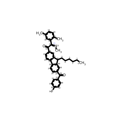 CCCCCCC1c2cc(C(=O)/C(=N\C)c3cc(C)ccc3C)ccc2-c2ccc(C(=O)c3ccc(F)cc3)cc21